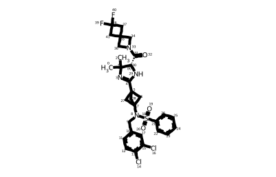 CC1(C)N=C(C23CC(N(Cc4ccc(Cl)c(Cl)c4)S(=O)(=O)c4ccccc4)(C2)C3)N[C@H]1C(=O)N1CC2(C1)CC(F)(F)C2